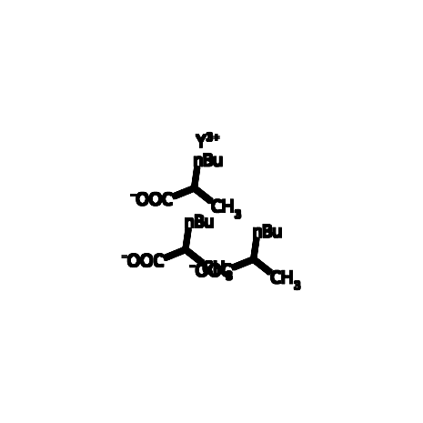 CCCCC(C)C(=O)[O-].CCCCC(C)C(=O)[O-].CCCCC(C)C(=O)[O-].[Y+3]